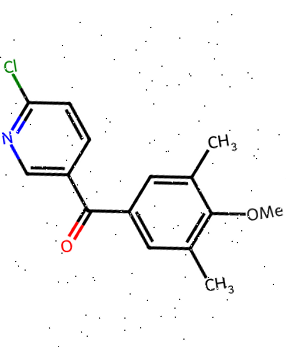 COc1c(C)cc(C(=O)c2ccc(Cl)nc2)cc1C